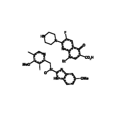 CCn1cc(C(=O)O)c(=O)c2cc(F)c(N3CCNCC3)nc21.COc1ccc2[nH]c([S+]([O-])Cc3ncc(C)c(OC)c3C)nc2c1